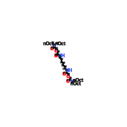 CCCCCCCCN(CCCCCCCC)C(=O)COCC(=O)NCCCCCCCNC(=O)COCC(=O)N(CCCCCCCC)CCCCCCCC